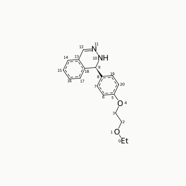 CCOCCOc1ccc([C@@H]2NN=Cc3ccccc32)cc1